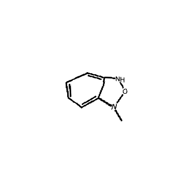 CN1ONc2ccccc21